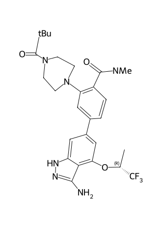 CNC(=O)c1ccc(-c2cc(O[C@H](C)C(F)(F)F)c3c(N)n[nH]c3c2)cc1N1CCN(C(=O)C(C)(C)C)CC1